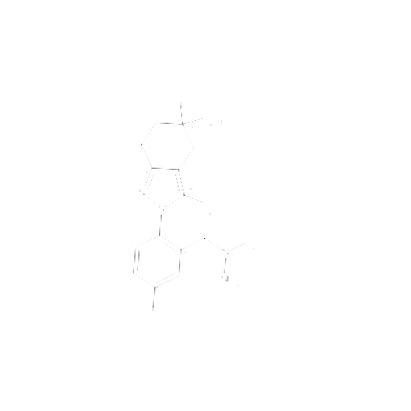 CN(N)Cc1cc(C(F)(F)F)ccc1-n1nc2c(c1C(=O)O)CC(C)(C)CC2